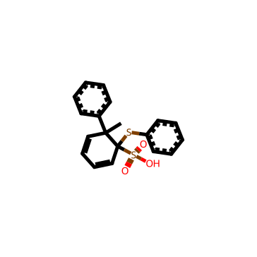 CC1(c2ccccc2)C=CC=CC1(Sc1ccccc1)S(=O)(=O)O